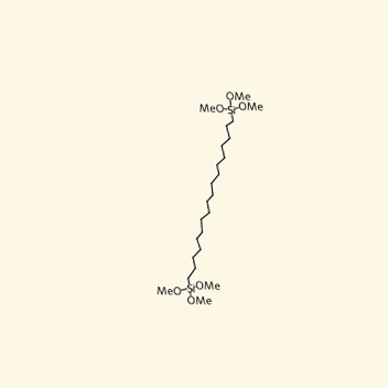 CO[Si](CCCCCCCCCCCCCCCCCC[Si](OC)(OC)OC)(OC)OC